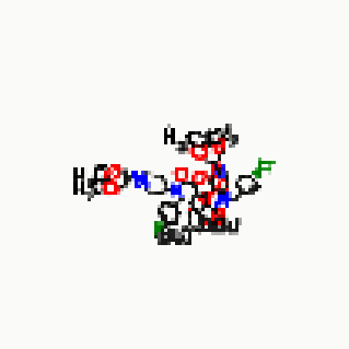 CC(C)COc1ccc(C(OC(=O)C(=O)OC(C(=O)N(Cc2ccc(F)cc2)C2CCN(C3COC(C)(C)OC3)CC2)c2ccc(OCC(C)C)cc2)C(=O)N(Cc2ccc(F)cc2)C2CCN(C3COC(C)(C)OC3)CC2)cc1